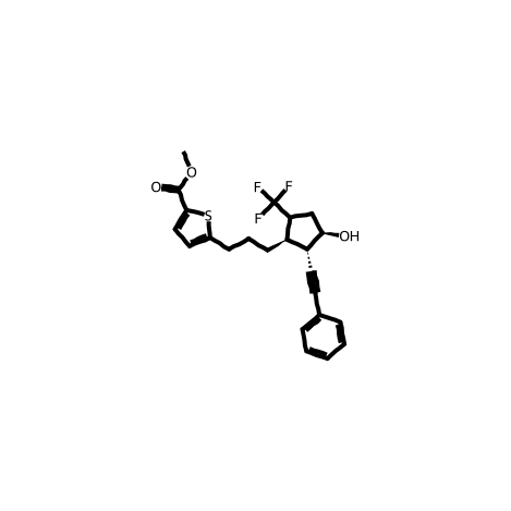 COC(=O)c1ccc(CCC[C@H]2C(C(F)(F)F)C[C@@H](O)[C@@H]2C#Cc2ccccc2)s1